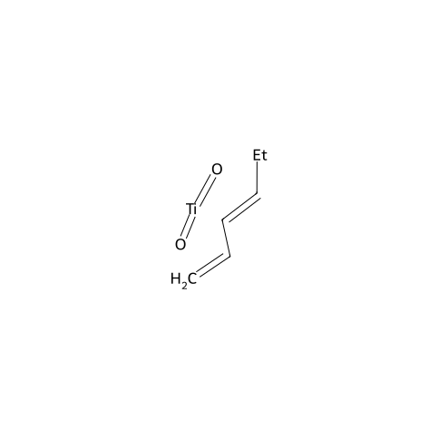 C=CC=CCC.[O]=[Ti]=[O]